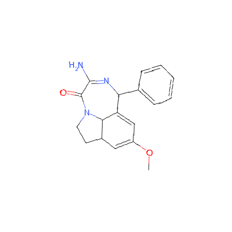 COC1=CC2CCN3C(=O)C(N)=NC(c4ccccc4)C(=C1)C23